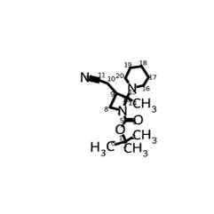 CC(C)(C)OC(=O)N1CC(CC#N)C1(C)N1CCCCC1